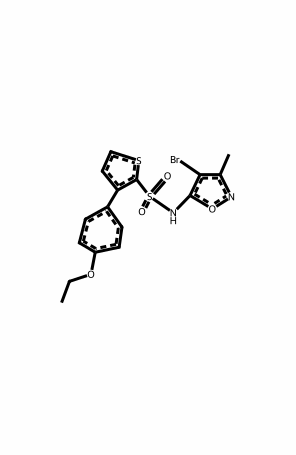 CCOc1ccc(-c2ccsc2S(=O)(=O)Nc2onc(C)c2Br)cc1